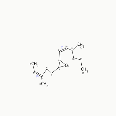 C/C=C(/C)CCC1OC1/C=C\C(C)CCC